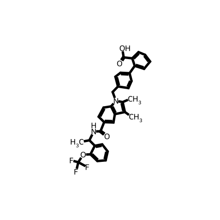 Cc1c(C)n(Cc2ccc(-c3ccccc3C(=O)O)cc2)c2ccc(C(=O)NC(C)c3ccccc3OC(F)(F)F)cc12